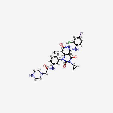 Cc1c(=O)[nH]c(Nc2ccc(I)cc2F)c2c(=O)n(C3CC3)c(=O)n(-c3cccc(NC(=O)CN4CCNCC4)c3)c12